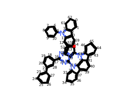 C1=Cc2c(n(-c3ccccc3)c3cc(-c4nc(-c5cccc(-c6ccccc6)c5)nc(-n5c6ccccc6c6ccc7c8ccccc8n(-c8ccccc8)c7c65)n4)ccc23)CC1